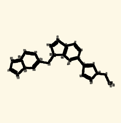 FC(F)(F)Cn1cc(-c2ccc3nnn(Cc4ccc5ncnn5c4)c3n2)cn1